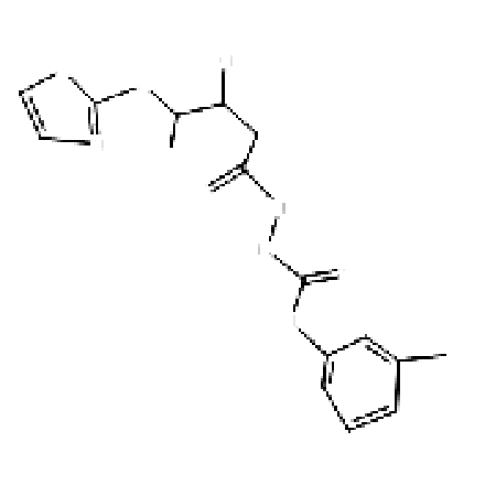 O=CC(CC(=O)NNC(=S)Nc1cccc(Br)c1)C(S)Nc1nccs1